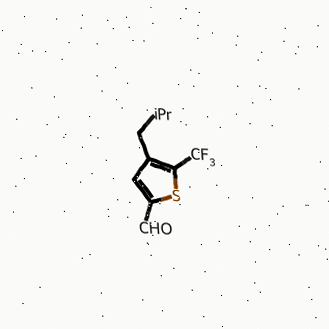 CC(C)Cc1cc(C=O)sc1C(F)(F)F